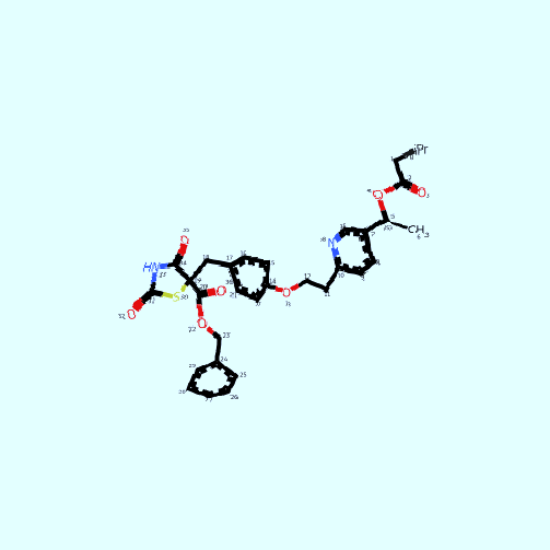 CC(C)CC(=O)O[C@@H](C)c1ccc(CCOc2ccc(CC3(C(=O)OCc4ccccc4)SC(=O)NC3=O)cc2)nc1